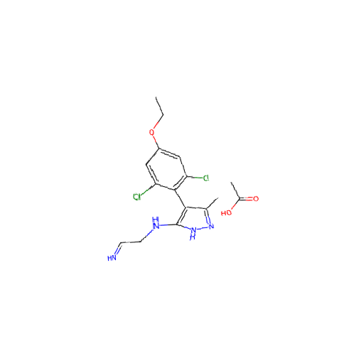 CC(=O)O.CCOc1cc(Cl)c(-c2c(C)n[nH]c2NCC=N)c(Cl)c1